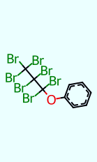 BrC(Br)(Br)C(Br)(Br)C(Br)(Br)Oc1ccccc1